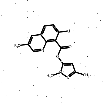 Cc1cc(OC(=O)c2c(Cl)ccc3cc(C(F)(F)F)cnc23)n(C)n1